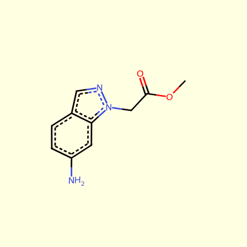 COC(=O)Cn1ncc2ccc(N)cc21